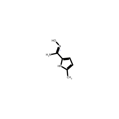 Cc1ccc(/C(N)=N/O)[nH]1